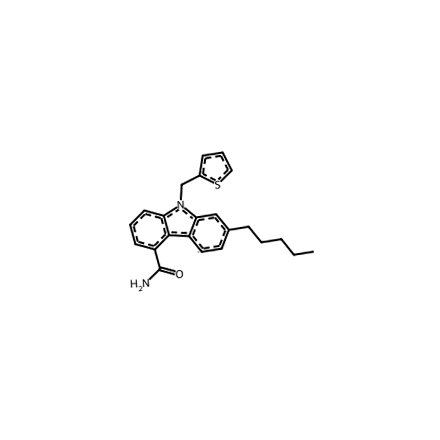 CCCCCc1c[c]c2c3c(C(N)=O)cccc3n(Cc3cccs3)c2c1